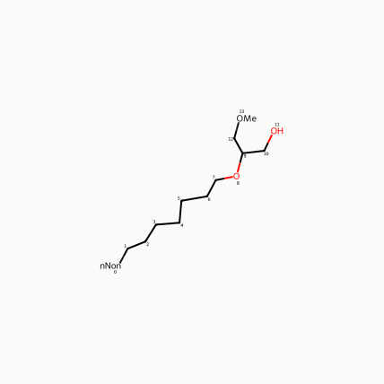 CCCCCCCCCCCCCCCCOC(CO)COC